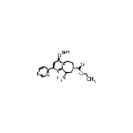 Br.CCOC(=O)N1CCn2c(nc(-c3ccncn3)cc2=O)C(N)C1